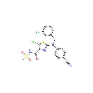 CS(=O)(=O)NC(=O)c1nc(N(Cc2cccc(F)c2)c2ccc(C#N)cc2)sc1Cl